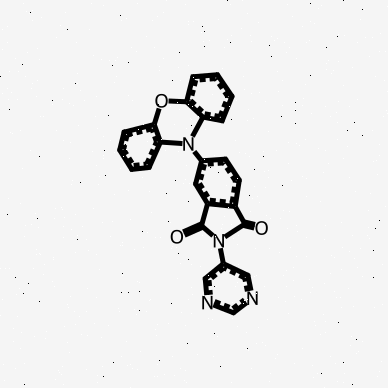 O=C1c2ccc(N3c4ccccc4Oc4ccccc43)cc2C(=O)N1c1cncnc1